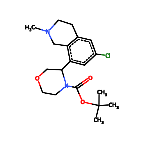 CN1CCc2cc(Cl)cc(C3COCCN3C(=O)OC(C)(C)C)c2C1